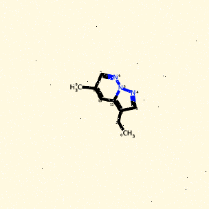 CCc1cnn2ncc(C)cc12